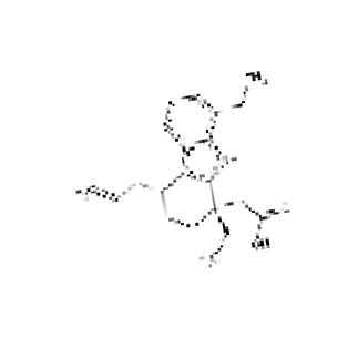 C=CC[C@H]1CC[C@@](CC)(CC(=O)O)c2[nH]c3c(CC)cccc3c21